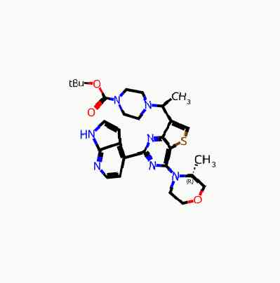 CC(c1csc2c(N3CCOC[C@H]3C)nc(-c3ccnc4[nH]ccc34)nc12)N1CCN(C(=O)OC(C)(C)C)CC1